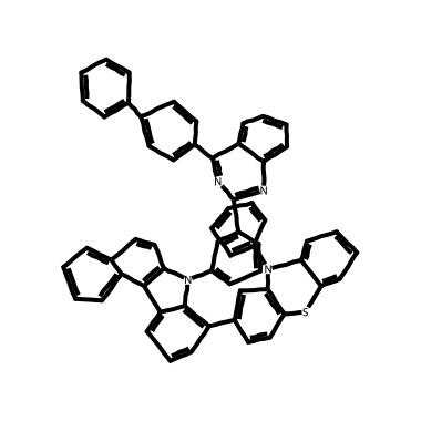 c1ccc(-c2ccc(-c3nc(-c4cccc(-n5c6ccc7ccccc7c6c6cccc(-c7ccc8c(c7)N(c7ccccc7)c7ccccc7S8)c65)c4)nc4ccccc34)cc2)cc1